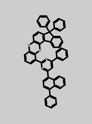 c1ccc(-c2cc(-c3ccc(-c4ccccc4)c4ccccc34)nc(-c3cccc4c3Oc3c(ccc5c3-c3ccccc3C5(c3ccccc3)c3ccccc3)O4)n2)cc1